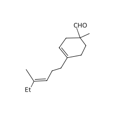 CCC(C)=CCCC1=CCC(C)(C=O)CC1